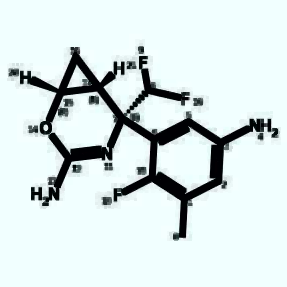 Cc1cc(N)cc([C@@]2(C(F)F)N=C(N)O[C@@H]3C[C@@H]32)c1F